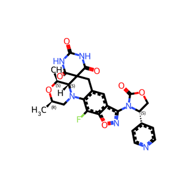 C[C@@H]1CN2c3c(cc4c(N5C(=O)OC[C@@H]5c5ccncc5)noc4c3F)CC3(C(=O)NC(=O)NC3=O)[C@H]2[C@H](C)O1